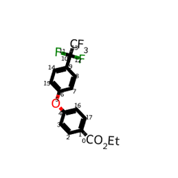 CCOC(=O)c1ccc(Oc2ccc(C(F)(F)C(F)(F)F)cc2)cc1